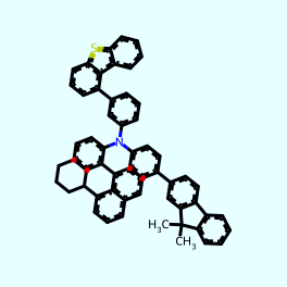 CC1(C)c2ccccc2-c2ccc(-c3ccc(N(c4cccc(-c5cccc6sc7ccccc7c56)c4)c4ccccc4-c4cccc5cccc(C6CCCCC6)c45)cc3)cc21